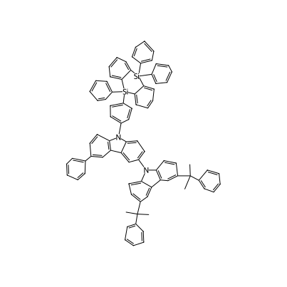 CC(C)(c1ccccc1)c1ccc2c(c1)c1cc(C(C)(C)c3ccccc3)ccc1n2-c1ccc2c(c1)c1cc(-c3ccccc3)ccc1n2-c1ccc([Si]2(c3ccccc3)c3ccccc3[Si](c3ccccc3)(c3ccccc3)c3ccccc32)cc1